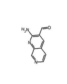 Nc1nc2cnccc2cc1C=O